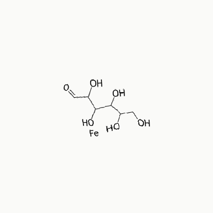 O=CC(O)C(O)C(O)C(O)CO.[Fe]